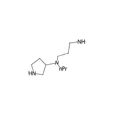 CCCN(CCC[NH])C1CCNC1